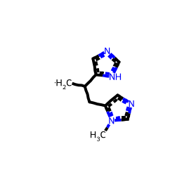 [CH2]C(Cc1cncn1C)c1cnc[nH]1